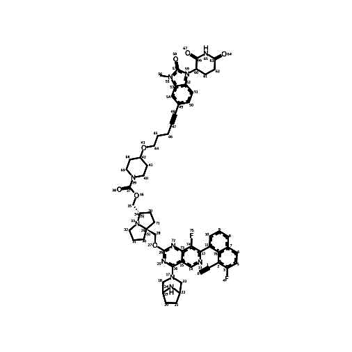 C#Cc1c(F)ccc2cccc(-c3ncc4c(N5CC6CCC(C5)N6)nc(OC[C@@]56CCCN5[C@H](COC(=O)N5CCC(OCCCC#Cc7ccc8c(c7)n(C)c(=O)n8C7CCC(=O)NC7=O)CC5)CC6)nc4c3F)c12